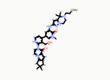 COCCN1CCn2nc(Nc3cc(-c4ccnc(-n5ccn6c7c(cc6c5=O)CC(C)(C)C7)c4CO)cn(C)c3=O)cc2C1(C)C